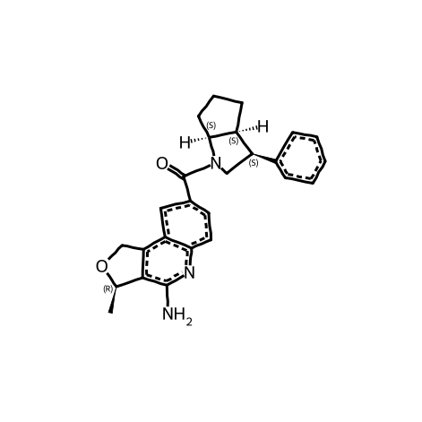 C[C@H]1OCc2c1c(N)nc1ccc(C(=O)N3C[C@H](c4ccccc4)[C@@H]4CCC[C@@H]43)cc21